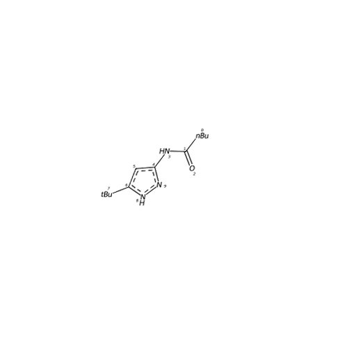 CCCCC(=O)Nc1cc(C(C)(C)C)[nH]n1